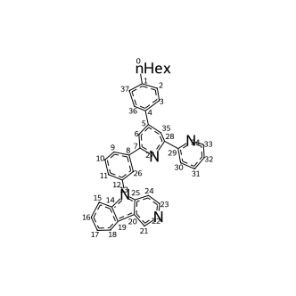 CCCCCCc1ccc(-c2cc(-c3cccc(-n4c5ccccc5c5cnccc54)c3)nc(-c3ccccn3)c2)cc1